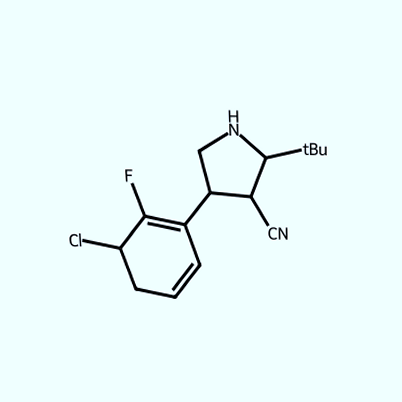 CC(C)(C)C1NCC(C2=C(F)C(Cl)CC=C2)C1C#N